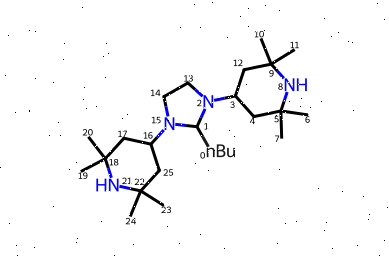 CCCCC1N(C2CC(C)(C)NC(C)(C)C2)CCN1C1CC(C)(C)NC(C)(C)C1